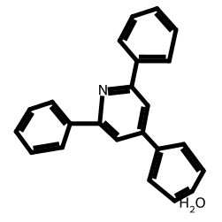 O.c1ccc(-c2cc(-c3ccccc3)nc(-c3ccccc3)c2)cc1